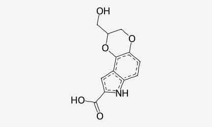 O=C(O)c1cc2c3c(ccc2[nH]1)OCC(CO)O3